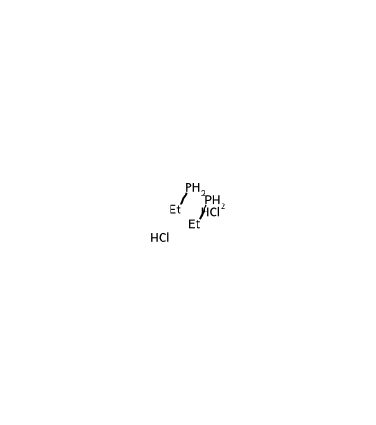 CCP.CCP.Cl.Cl